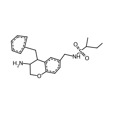 CCC(C)S(=O)(=O)NCc1ccc2c(c1)C(Cc1ccccc1)C(N)CO2